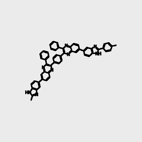 Cc1ccc(-c2nc3cc(-c4ccc5nc(-c6ccccc6)c(-c6ccc(-c7nc8ccc(-c9ccc%10[nH]c(C)nc%10c9)cc8nc7-c7ccccc7)cc6)nc5c4)ccc3[nH]2)cc1